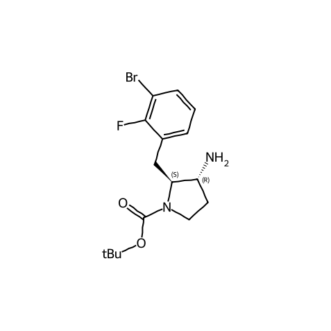 CC(C)(C)OC(=O)N1CC[C@@H](N)[C@@H]1Cc1cccc(Br)c1F